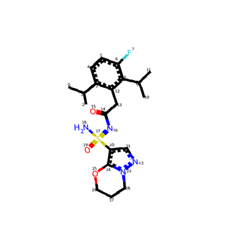 CC(C)c1ccc(F)c(C(C)C)c1CC(=O)N=S(N)(=O)c1cnn2c1OCCC2